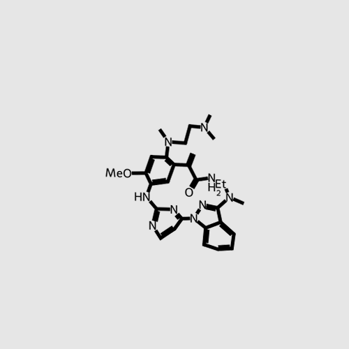 C=C(C(N)=O)c1cc(Nc2nccc(-n3nc(N(C)CC)c4ccccc43)n2)c(OC)cc1N(C)CCN(C)C